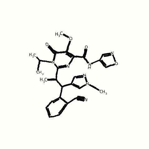 COc1c(C(=O)Nc2cnoc2)nc(C(C)C(c2cnn(C)c2)c2ccccc2C#N)n(C(C)C)c1=O